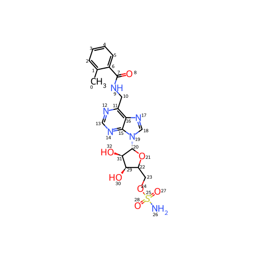 Cc1ccccc1C(=O)NCc1ncnc2c1ncn2[C@@H]1OC(COS(N)(=O)=O)[C@@H](O)[C@H]1O